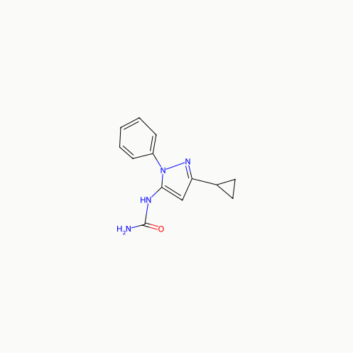 NC(=O)Nc1cc(C2CC2)nn1-c1ccccc1